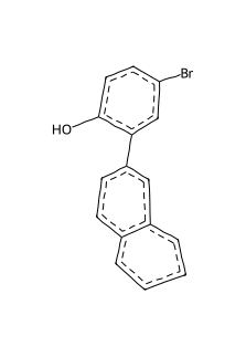 Oc1ccc(Br)cc1-c1ccc2ccccc2c1